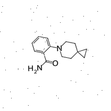 NC(=O)c1ccccc1N1CCC2(CC1)CC2